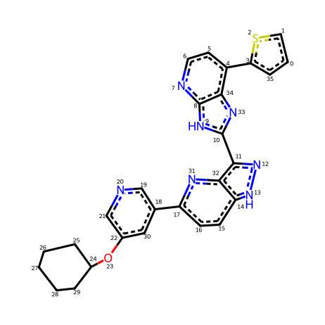 c1csc(-c2ccnc3[nH]c(-c4n[nH]c5ccc(-c6cncc(OC7CCCCC7)c6)nc45)nc23)c1